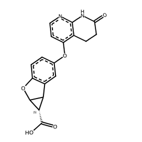 O=C1CCc2c(Oc3ccc4c(c3)C3C(O4)[C@H]3C(=O)O)ccnc2N1